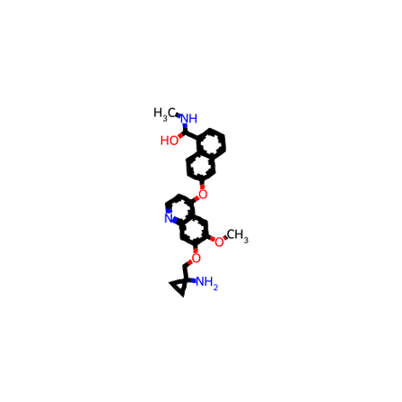 CNC(O)c1cccc2cc(Oc3ccnc4cc(OCC5(N)CC5)c(OC)cc34)ccc12